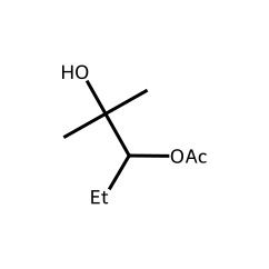 CCC(OC(C)=O)C(C)(C)O